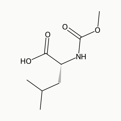 COC(=O)N[C@H](CC(C)C)C(=O)O